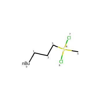 CCCCCCCS(C)(Cl)Cl